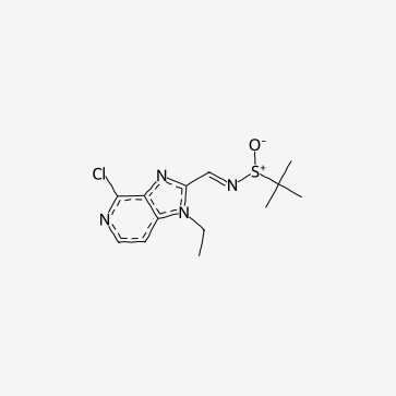 CCn1c(/C=N/[S+]([O-])C(C)(C)C)nc2c(Cl)nccc21